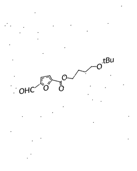 CC(C)(C)OCCCCOC(=O)c1ccc(C=O)o1